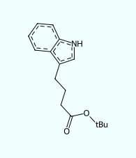 CC(C)(C)OC(=O)CCCc1c[nH]c2ccccc12